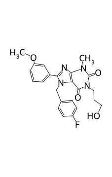 COc1cccc(-c2nc3c(c(=O)n(CCCO)c(=O)n3C)n2Cc2ccc(F)cc2)c1